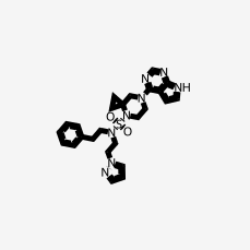 O=S(=O)(N(CCc1ccccc1)CCn1cccn1)N1CCN(c2ncnc3[nH]ccc23)CC12CC2